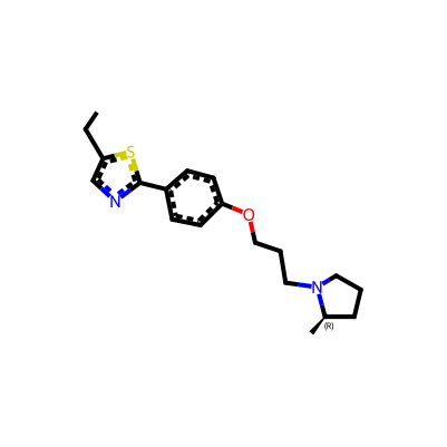 CCc1cnc(-c2ccc(OCCCN3CCC[C@H]3C)cc2)s1